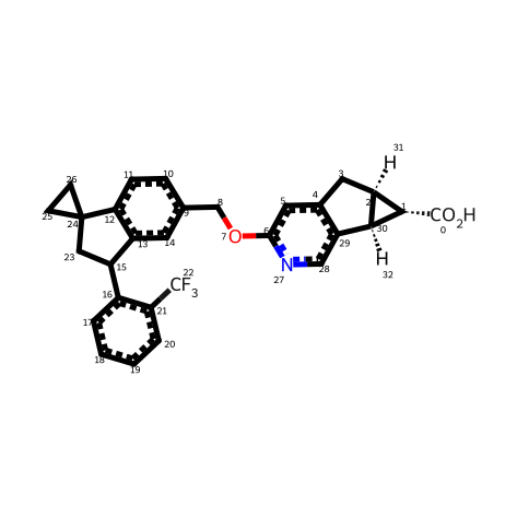 O=C(O)[C@H]1[C@@H]2Cc3cc(OCc4ccc5c(c4)C(c4ccccc4C(F)(F)F)CC54CC4)ncc3[C@@H]21